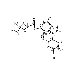 CCC1(F)CN(C(=O)Cn2cc(C)n3ccc(-c4ccc(F)c(Cl)c4)c3c2=O)C1